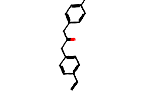 C=Cc1ccc(CC(=O)Cc2ccc(C=C)cc2)cc1